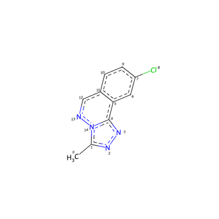 Cc1nnc2c3cc(Cl)ccc3cnn12